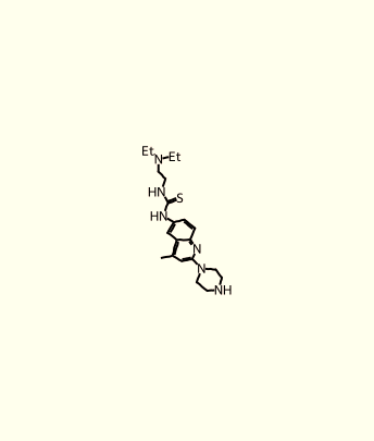 CCN(CC)CCNC(=S)Nc1ccc2nc(N3CCNCC3)cc(C)c2c1